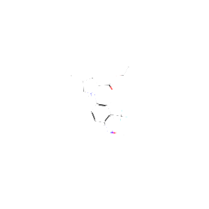 CCOC(=O)C1CC(F)CN1c1ccc([N+](=O)[O-])c(C(F)(F)F)c1